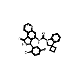 O=C1NC(c2cc(F)ccc2Cl)c2c(NC(=O)N3CC4(CCC4)c4ccccc43)cc3ncccc3c21